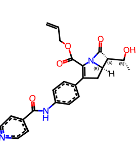 C=CCOC(=O)C1=C(c2ccc(NC(=O)c3ccncc3)cc2)C[C@@H]2[C@@H]([C@@H](C)O)C(=O)N12